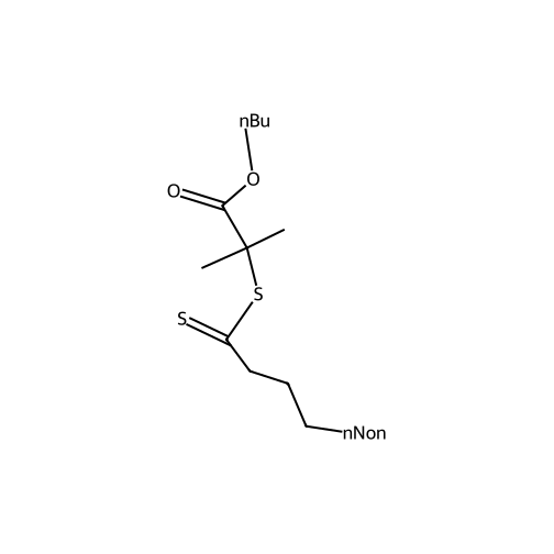 CCCCCCCCCCCCC(=S)SC(C)(C)C(=O)OCCCC